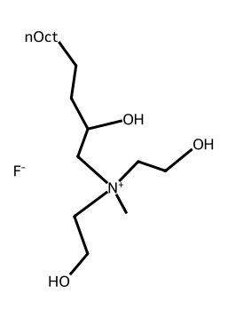 CCCCCCCCCCC(O)C[N+](C)(CCO)CCO.[F-]